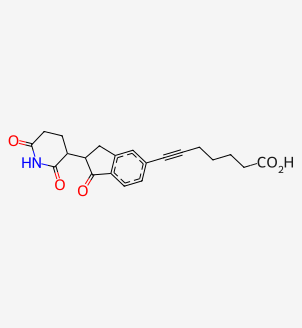 O=C(O)CCCCC#Cc1ccc2c(c1)CC(C1CCC(=O)NC1=O)C2=O